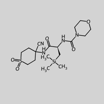 C[Si](C)(C)C[C@H](NC(=O)N1CCOCC1)C(=O)NC1(C#N)CCS(=O)(=O)CC1